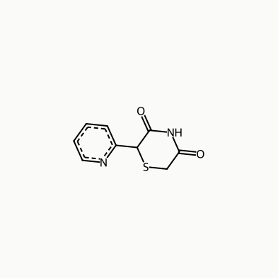 O=C1CSC(c2ccccn2)C(=O)N1